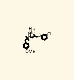 COc1ccc(CC(C)(C)NCC(O)COc2cccc(Cl)c2)cc1.Cl